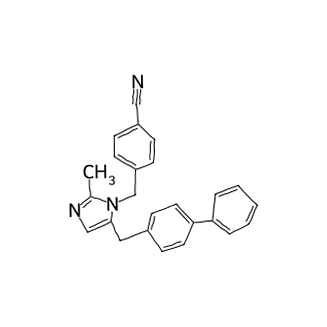 Cc1ncc(Cc2ccc(-c3ccccc3)cc2)n1Cc1ccc(C#N)cc1